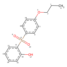 CCCOc1ccc(S(=O)(=O)c2ccccc2O)cc1